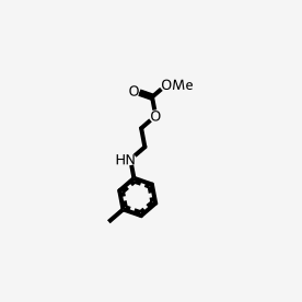 COC(=O)OCCNc1cccc(C)c1